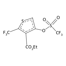 CCOC(=O)c1c(OS(=O)(=O)C(F)(F)F)csc1C(F)(F)F